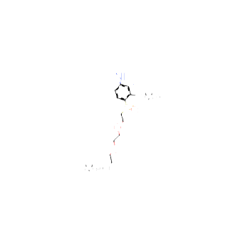 COCCOCCOCC[S+]([O-])c1ccc(N)cc1OC